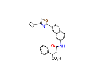 O=C(CC(C(=O)O)c1ccccc1)Nc1ccc2ccc(-c3nc(C4CCC4)cs3)cc2c1